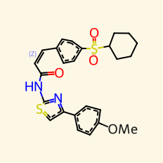 COc1ccc(-c2csc(NC(=O)/C=C\c3ccc(S(=O)(=O)C4CCCCC4)cc3)n2)cc1